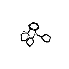 c1ccc(P(C2CCCC2)C2CCCC2)c(C2OCCCO2)c1